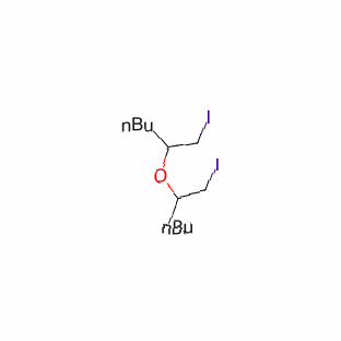 CCCCC(CI)OC(CI)CCCC